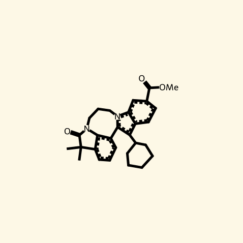 COC(=O)c1ccc2c(C3CCCCC3)c3n(c2c1)CCCN1C(=O)C(C)(C)c2cccc-3c21